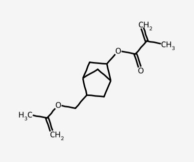 C=C(C)OCC1CC2CC1CC2OC(=O)C(=C)C